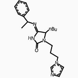 CCCCC1C(=NC(C)c2ccccc2)NC(=O)N1CCCn1ccnc1